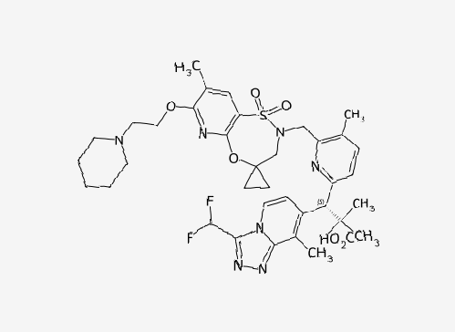 Cc1ccc([C@@H](c2ccn3c(C(F)F)nnc3c2C)C(C)(C)C(=O)O)nc1CN1CC2(CC2)Oc2nc(OCCN3CCCCC3)c(C)cc2S1(=O)=O